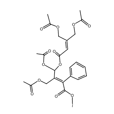 CC(=O)OCC(=CC(=O)OC(OC(C)=O)C(COC(C)=O)=C(C(=O)OI)c1ccccc1)COC(C)=O